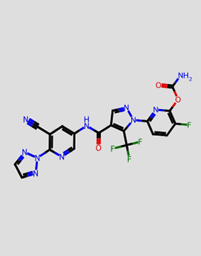 N#Cc1cc(NC(=O)c2cnn(-c3ccc(F)c(OC(N)=O)n3)c2C(F)(F)F)cnc1-n1nccn1